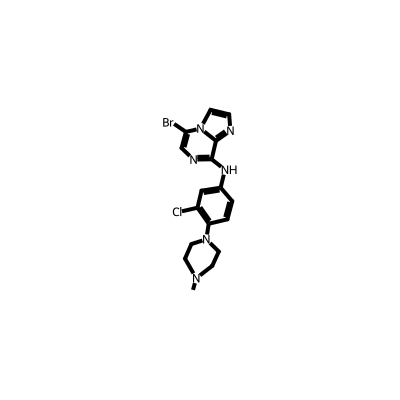 CN1CCN(c2ccc(Nc3ncc(Br)n4ccnc34)cc2Cl)CC1